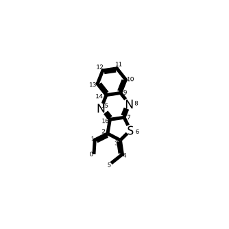 C/C=c1\c(=C/C)sc2nc3ccccc3nc12